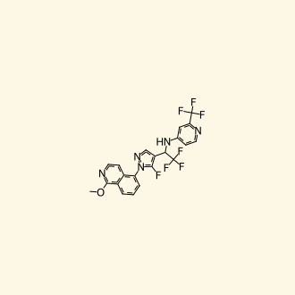 COc1nccc2c(-n3ncc(C(Nc4ccnc(C(F)(F)F)c4)C(F)(F)F)c3F)cccc12